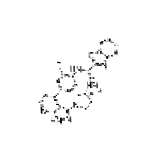 N[C@@H]1CCN(c2n[nH]c3nccc(-c4ccc(NC(=O)c5nc6ccccc6o5)c(F)c4)c23)C1